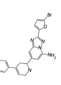 Nc1cc(C2CC(c3ccccc3)=CC[N]2)cc2nc(-c3ccc(Br)o3)nn12